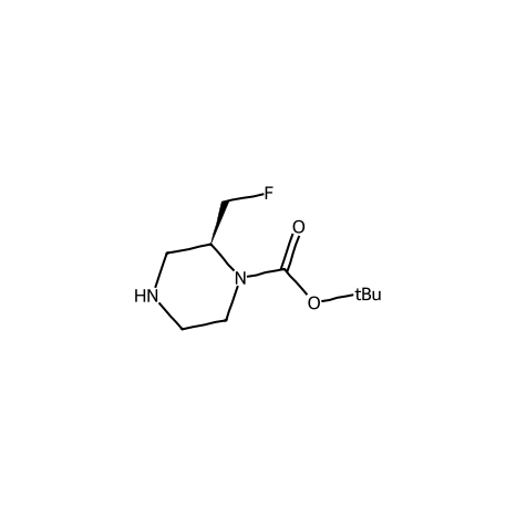 CC(C)(C)OC(=O)N1CCNC[C@H]1CF